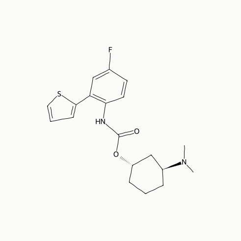 CN(C)[C@H]1CCC[C@H](OC(=O)Nc2ccc(F)cc2-c2cccs2)C1